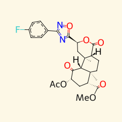 COC(=O)[C@@H]1C[C@H](OC(C)=O)C(=O)[C@H]2[C@@]1(C)CC[C@H]1C(=O)O[C@H](c3nc(-c4ccc(F)cc4)no3)C[C@]21C